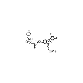 COCCCN1CC(C)(c2cc(F)cc(F)c2)Oc2ccc(CO[C@@H]3CCC(CC(C)(C)C(=O)NCC4CCOCC4)NC3)cc21